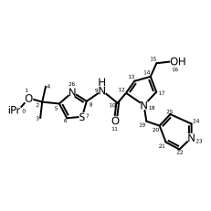 CC(C)OC(C)(C)c1csc(NC(=O)c2cc(CO)cn2Cc2ccncc2)n1